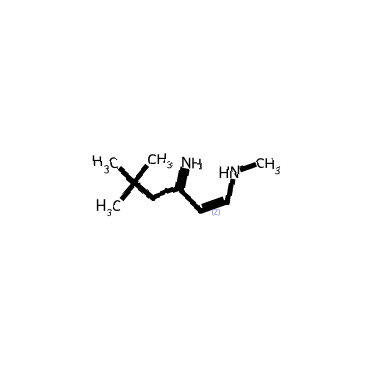 CN/C=C\C(=N)CC(C)(C)C